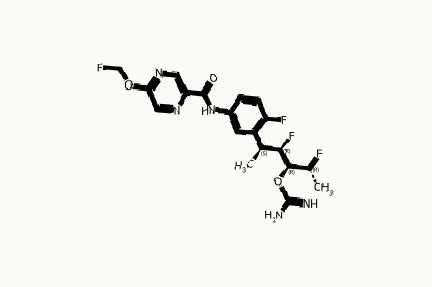 C[C@@H](F)[C@@H](OC(=N)N)[C@H](F)[C@@H](C)c1cc(NC(=O)c2cnc(OCF)cn2)ccc1F